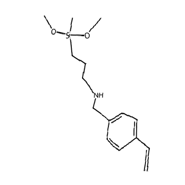 C=Cc1ccc(CNCCC[Si](C)(OC)OC)cc1